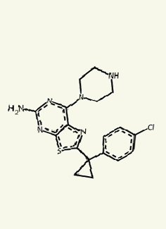 Nc1nc(N2CCNCC2)c2nc(C3(c4ccc(Cl)cc4)CC3)sc2n1